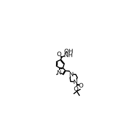 Cn1cc(CN2CCN(C(=O)OC(C)(C)C)CC2)c2cc(C(=O)NO)ccc21